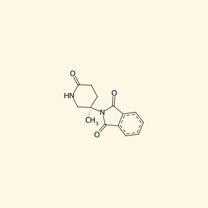 C[C@@]1(N2C(=O)c3ccccc3C2=O)CCC(=O)NC1